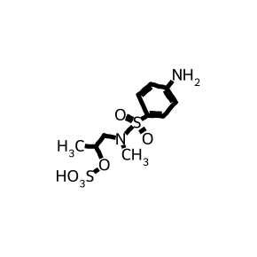 CC(CN(C)S(=O)(=O)c1ccc(N)cc1)OS(=O)(=O)O